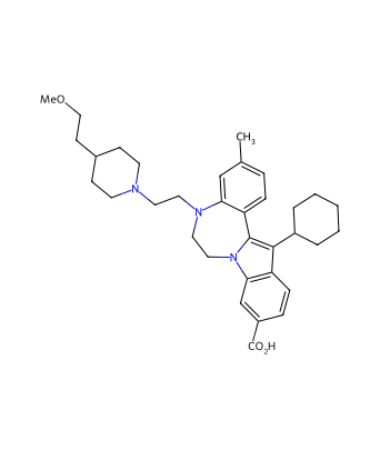 COCCC1CCN(CCN2CCn3c(c(C4CCCCC4)c4ccc(C(=O)O)cc43)-c3ccc(C)cc32)CC1